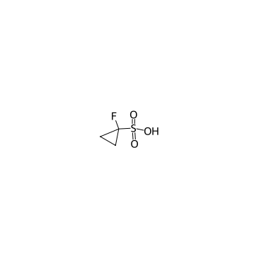 O=S(=O)(O)C1(F)CC1